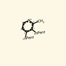 CCCCCc1ccnc(C)c1CCCCC